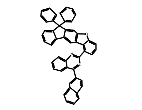 c1ccc(C2(c3ccccc3)c3ccccc3-c3cc4c(cc32)oc2cccc(-c3nc(-c5ccc6ccccc6c5)c5ccccc5n3)c24)cc1